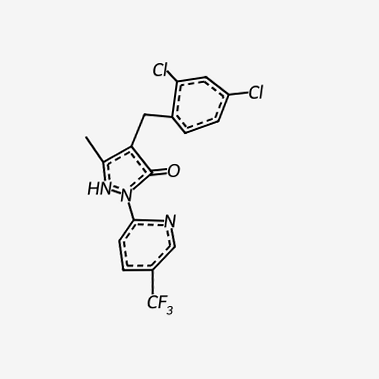 Cc1[nH]n(-c2ccc(C(F)(F)F)cn2)c(=O)c1Cc1ccc(Cl)cc1Cl